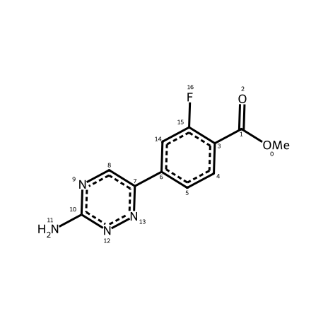 COC(=O)c1ccc(-c2cnc(N)nn2)cc1F